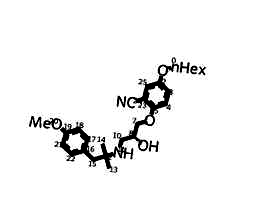 CCCCCCOc1ccc(OC[C@@H](O)CNC(C)(C)Cc2ccc(OC)cc2)c(C#N)c1